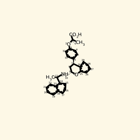 CC(Oc1ccc([C@@H]2C[C@@H](CN[C@H](C)c3cccc4ccccc34)Oc3ccccc32)cc1)C(=O)O